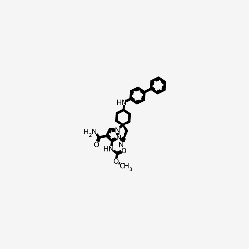 COC(=O)Nc1nn(C2(CC#N)CCC(Nc3ccc(-c4ccccc4)cc3)CC2)cc1C(N)=O